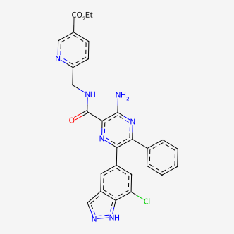 CCOC(=O)c1ccc(CNC(=O)c2nc(-c3cc(Cl)c4[nH]ncc4c3)c(-c3ccccc3)nc2N)nc1